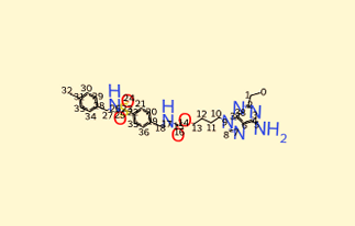 CCc1nc(N)c2ncn(CCCCOC(=O)NCc3ccc(S(=O)(=O)NCc4ccc(C)cc4)cc3)c2n1